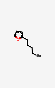 CCC(C)CCCCc1[c]cco1